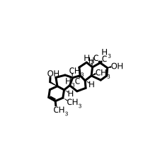 CC1=CC[C@]2(CO)CC[C@]3(C)C(CC[C@@H]4[C@@]5(C)CC[C@H](O)C(C)(C)[C@@H]5CC[C@]43C)[C@H]2[C@@H]1C